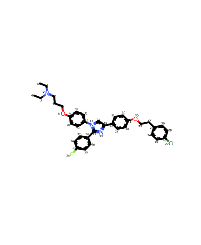 CCN(CC)CCCOc1ccc(-n2cc(-c3ccc(OCCc4ccc(Cl)cc4)cc3)nc2-c2ccc(F)cc2)cc1